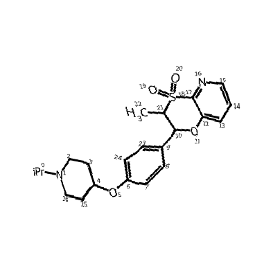 CC(C)N1CCC(Oc2ccc(C3Oc4cccnc4S(=O)(=O)C3C)cc2)CC1